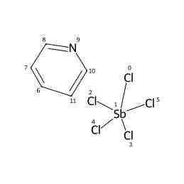 [Cl][Sb]([Cl])([Cl])([Cl])[Cl].c1ccncc1